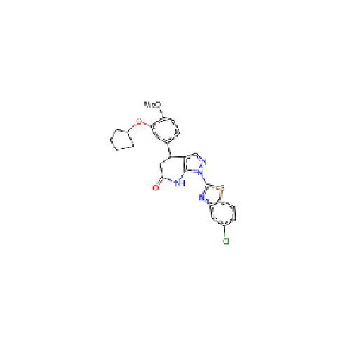 COc1ccc(C2CC(=O)Nc3c2cnn3-c2nc3cc(Cl)ccc3s2)cc1OC1CCCC1